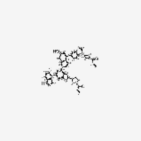 C=CC(=O)N1CCC(c2cc3c(-c4ccc5c(-c6ccc7c(c6)ncn7C6CN(C(=O)C=C)C6)cc(O)cc5c4)cc(-c4c(C)ccc5[nH]ncc45)cc3o2)C1